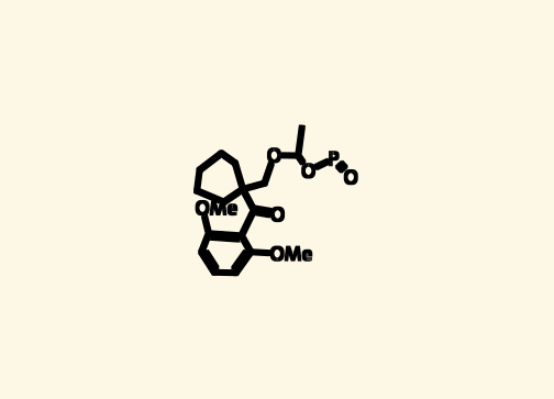 COc1cccc(OC)c1C(=O)C1(COC(C)OP=O)CCCCC1